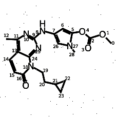 COC(=O)Oc1cc(Nc2nc(C)c3ccc(=O)n(CCC4CC4)c3n2)cn1C